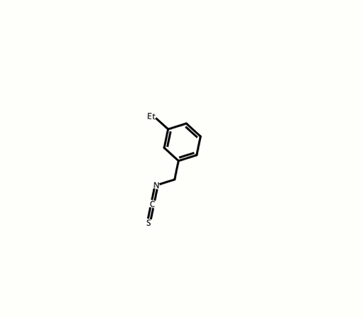 CCc1cccc(CN=C=S)c1